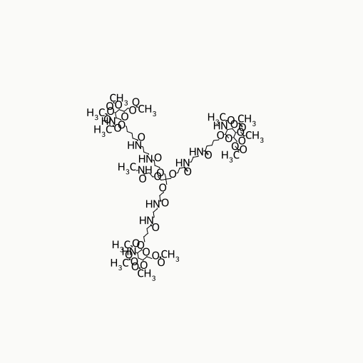 CCNC(=O)CCOCC(COCCC(=O)NCCCNC(=O)CCCCOC1OC(COC(C)=O)C(OC(C)=O)C(OC(C)=O)C1NC(C)=O)(COCCC(=O)NCCCNC(=O)CCCCOC1OC(COC(C)=O)C(OC(C)=O)C(OC(C)=O)C1NC(C)=O)COCCC(=O)NCCCNC(=O)CCCCOC1OC(COC(C)=O)C(OC(C)=O)C(OC(C)=O)C1NC(C)=O